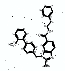 CCCCc1nc2ccc(C(=O)NCCc3ccccc3)cc2n1Cc1ccc(-c2ccccc2C(=O)O)cc1